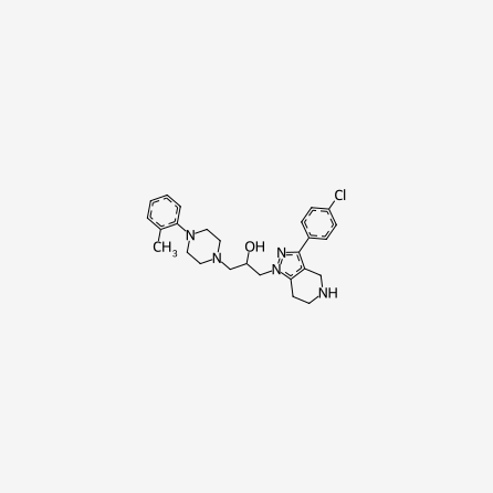 Cc1ccccc1N1CCN(CC(O)Cn2nc(-c3ccc(Cl)cc3)c3c2CCNC3)CC1